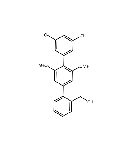 COc1cc(-c2ccccc2CO)cc(OC)c1-c1cc(Cl)cc(Cl)c1